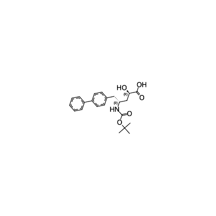 CC(C)(C)OC(=O)N[C@H](Cc1ccc(-c2ccccc2)cc1)C[C@@H](O)C(=O)O